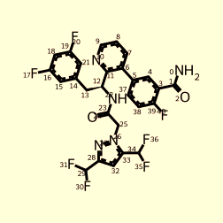 NC(=O)c1cc(-c2cccnc2[C@H](Cc2cc(F)cc(F)c2)NC(=O)Cn2nc(C(F)F)cc2C(F)F)ccc1F